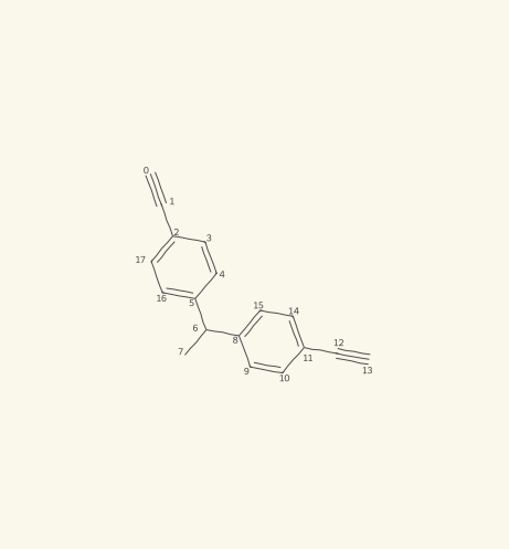 C#Cc1ccc(C(C)c2ccc(C#C)cc2)cc1